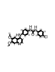 COc1cc2nccc(Nc3ccc(NC(=O)Nc4ccc(Cl)cc4)cc3)c2cc1OC